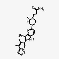 Cc1c(-c2[nH]c3ccc(N4CCN(CCC(N)=O)[C@H](C)C4)nc3c2C(C)C)cn2ncnc2c1C